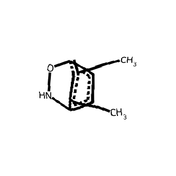 Cc1c2ccc(c1C)ON2